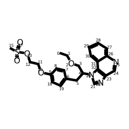 CCOCC(Cc1ccc(OCCOS(C)(=O)=O)cc1)n1cnc2cnc3ccccc3c21